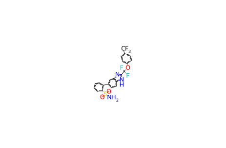 NS(=O)(=O)c1ccccc1-c1ccc2[nH]c(C(F)(F)Oc3ccc(C(F)(F)F)cc3)nc2c1